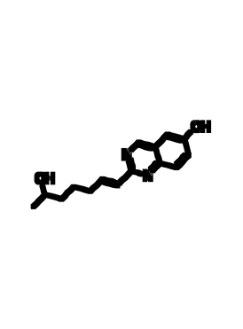 CC(O)CCCC=Cc1ncc2cc(O)ccc2n1